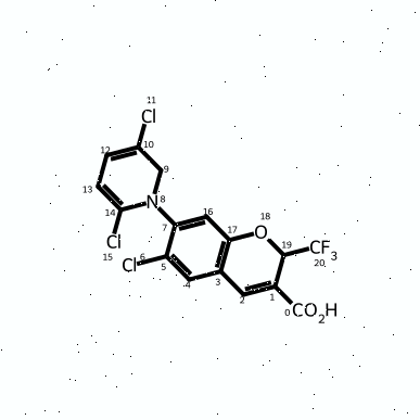 O=C(O)C1=Cc2cc(Cl)c(N3CC(Cl)=CC=C3Cl)cc2OC1C(F)(F)F